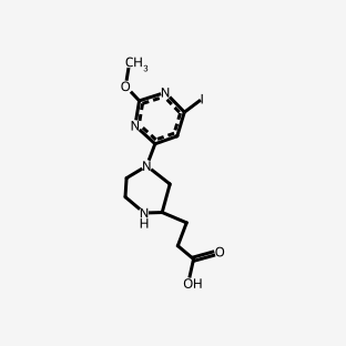 COc1nc(I)cc(N2CCNC(CCC(=O)O)C2)n1